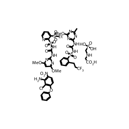 CCS(=O)(=O)c1cccnc1S(=O)(=O)NC(=O)Nc1nc(OC)cc(OC)n1.COc1nc(C)nc(NC(=O)NS(=O)(=O)c2ccccc2CCC(F)(F)F)n1.Nc1c([N+](=O)[O-])ccc(Oc2ccccc2)c1Cl.O=C(O)CNCP(=O)(O)O